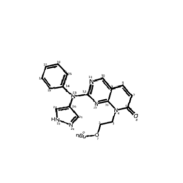 CCCCOCCn1c(=O)ccc2cnc(N(c3ccccc3)c3cn[nH]c3)nc21